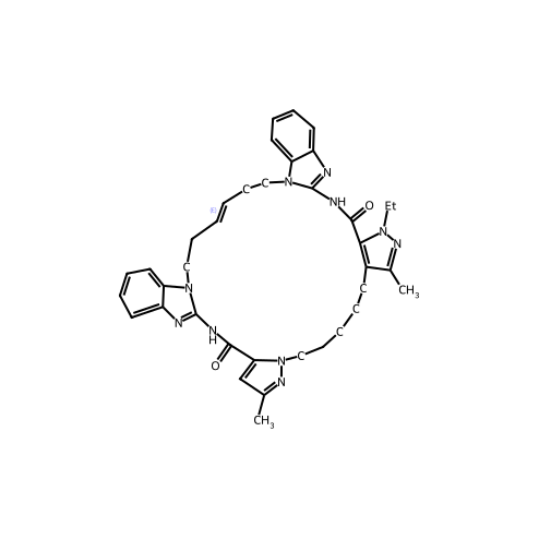 CCn1nc(C)c2c1C(=O)Nc1nc3ccccc3n1CC/C=C/CCn1c(nc3ccccc31)NC(=O)c1cc(C)nn1CCCCC2